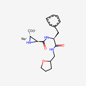 O=C(NCC1CCCO1)[C@H](Cc1ccccc1)NC(=O)[C@H]1N[C@@H]1C(=O)[O-].[Na+]